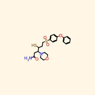 NC(=O)CC(C(S)CCS(=O)(=O)c1ccc(Oc2ccccc2)cc1)N1CCOCC1